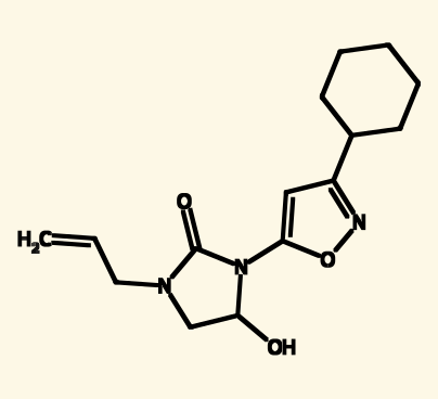 C=CCN1CC(O)N(c2cc(C3CCCCC3)no2)C1=O